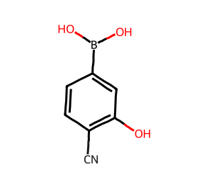 N#Cc1ccc(B(O)O)cc1O